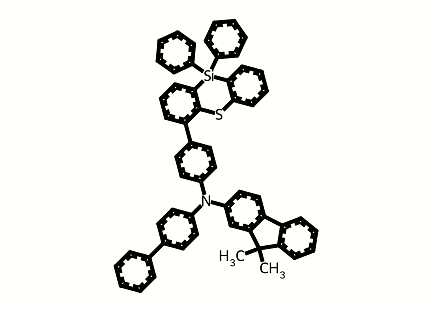 CC1(C)c2ccccc2-c2ccc(N(c3ccc(-c4ccccc4)cc3)c3ccc(-c4cccc5c4Sc4ccccc4[Si]5(c4ccccc4)c4ccccc4)cc3)cc21